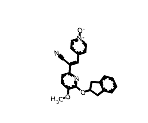 COc1ccc(C(C#N)=Cc2cc[n+]([O-])cc2)nc1OC1Cc2ccccc2C1